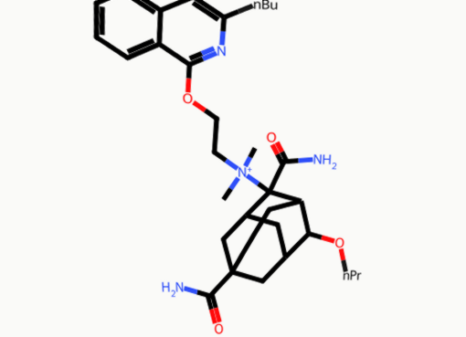 CCCCc1cc2ccccc2c(OCC[N+](C)(C)C2(C(N)=O)C3CC4CC(C(N)=O)(C3)CC2C4OCCC)n1